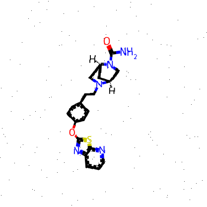 NC(=O)N1C[C@@H]2C[C@H]1CN2CCc1ccc(Oc2nc3cccnc3s2)cc1